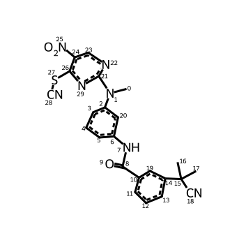 CN(c1cccc(NC(=O)c2cccc(C(C)(C)C#N)c2)c1)c1ncc([N+](=O)[O-])c(SC#N)n1